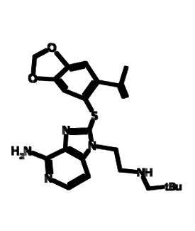 C=C(C)c1cc2c(cc1Sc1nc3c(N)nccc3n1CCNCC(C)(C)C)OCO2